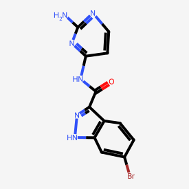 Nc1nccc(NC(=O)c2n[nH]c3cc(Br)ccc23)n1